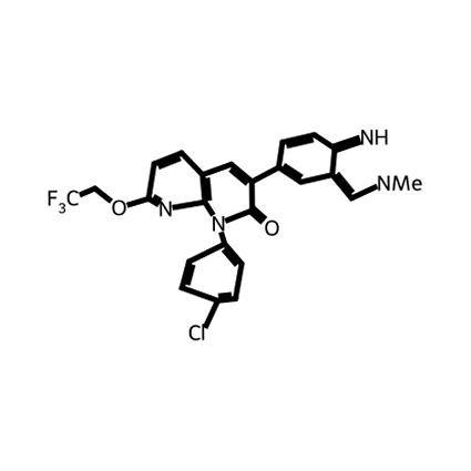 CN/C=C1/C=C(c2cc3ccc(OCC(F)(F)F)nc3n(-c3ccc(Cl)cc3)c2=O)C=CC1=N